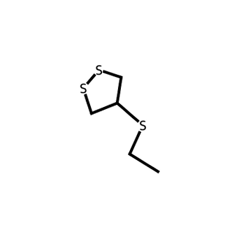 CCSC1CSSC1